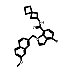 COc1ccc2ccc(Cn3ccc4c(F)ccc(C(=O)NC5CC6(CCC6)C5)c43)cc2c1